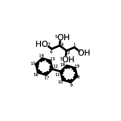 OCC(O)C(O)CO.c1ccc(-c2ccccc2)cc1